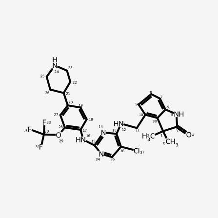 CC1(C)C(=O)Nc2cccc(CNc3nc(Nc4ccc(C5CCNCC5)cc4OC(F)(F)F)ncc3Cl)c21